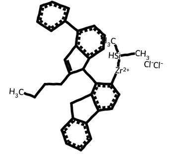 CCCCC1=Cc2c(-c3ccccc3)cccc2C1c1[c]([Zr+2][SiH](C)C)ccc2c1Cc1ccccc1-2.[Cl-].[Cl-]